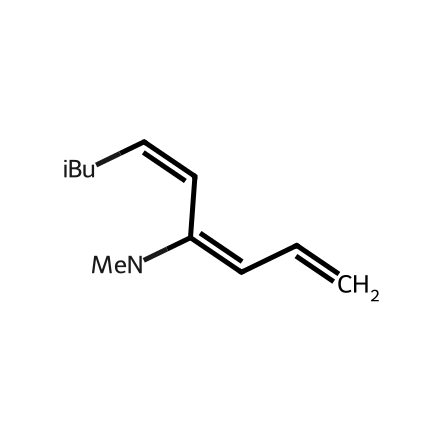 C=C/C=C(\C=C/C(C)CC)NC